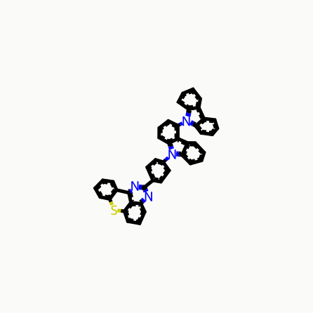 c1ccc2c(c1)Sc1cccc3nc(-c4ccc(-n5c6ccccc6c6c(-n7c8ccccc8c8ccccc87)cccc65)cc4)nc-2c13